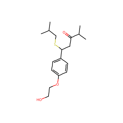 CC(C)CSC(CC(=O)C(C)C)c1ccc(OCCO)cc1